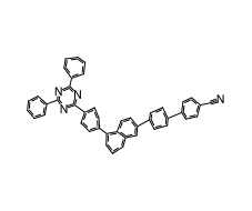 N#Cc1ccc(-c2ccc(-c3ccc4c(-c5ccc(-c6nc(-c7ccccc7)nc(-c7ccccc7)n6)cc5)cccc4c3)cc2)cc1